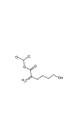 C=C(CCCCO)C(=O)OC(Cl)Cl